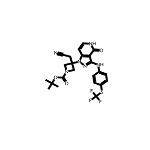 CC(C)(C)OC(=O)N1CC(CC#N)(n2nc(Nc3ccc(SC(F)(F)F)cc3)c3c(=O)[nH]ccc32)C1